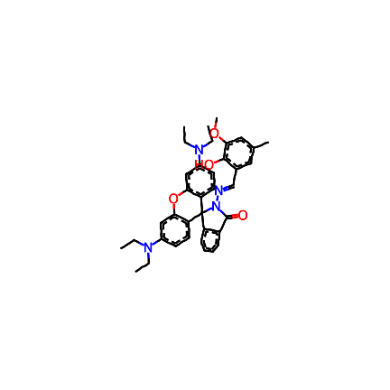 CCN(CC)c1ccc2c(c1)Oc1cc(N(CC)CC)ccc1C21c2ccccc2C(=O)N1/N=C/c1cc(C)cc(OC)c1O